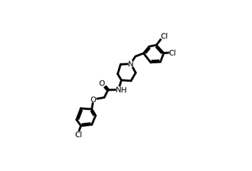 O=C(COc1ccc(Cl)cc1)NC1CCN(Cc2ccc(Cl)c(Cl)c2)CC1